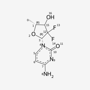 C[C@H]1O[C@@H](n2ccc(N)nc2=O)C(F)(F)C1O